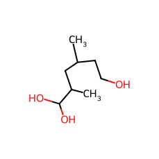 CC(CCO)CC(C)C(O)O